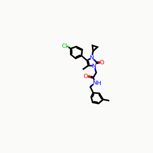 Cc1cccc(CNC(=O)Cn2c(C)c(-c3ccc(Cl)cc3)n(C3CC3)c2=O)c1